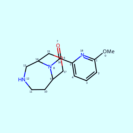 COc1cccc(C(=O)N2C3CCNCC2COC3)n1